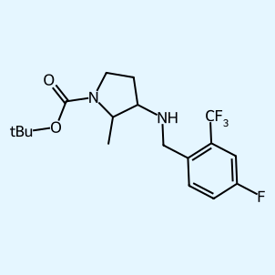 CC1C(NCc2ccc(F)cc2C(F)(F)F)CCN1C(=O)OC(C)(C)C